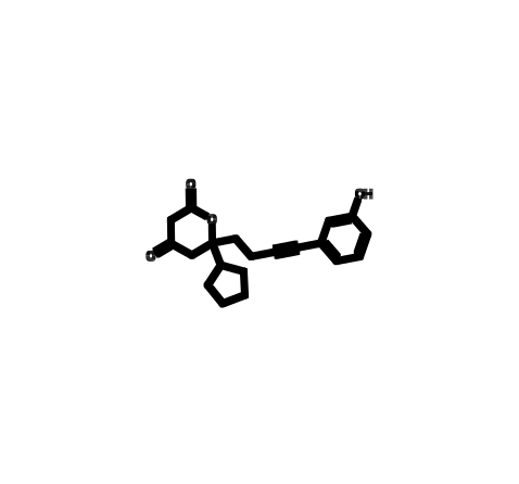 O=C1CC(=O)OC(CCC#Cc2cccc(O)c2)(C2CCCC2)C1